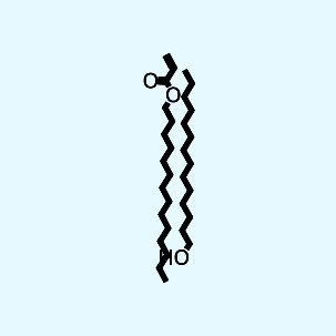 C=CC(=O)OCCCCCCCCCCCCCC.CCCCCCCCCCCCCCO